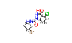 O=C(Nc1cccc(Br)c1)Nc1cccc(Cl)c1CO